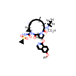 [2H]C([2H])([2H])C(C)(C)N(C(=O)O)[C@@H]1C(=O)N2C[C@H](Oc3nccc4cc(OC(C)C)ccc34)C[C@H]2C(=O)N[C@]2(C(=O)NS(=O)(=O)C3CC3)C[C@H]2/C=C\CC[C@@H](C)C[C@H]1C